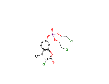 Cc1c(Cl)c(=O)oc2cc(OP(=O)(OCCCl)OCCCl)ccc12